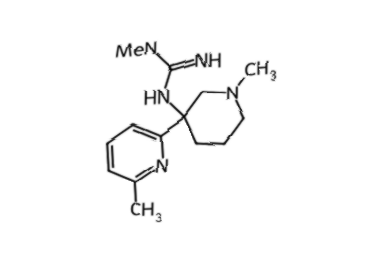 CNC(=N)NC1(c2cccc(C)n2)CCCN(C)C1